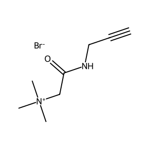 C#CCNC(=O)C[N+](C)(C)C.[Br-]